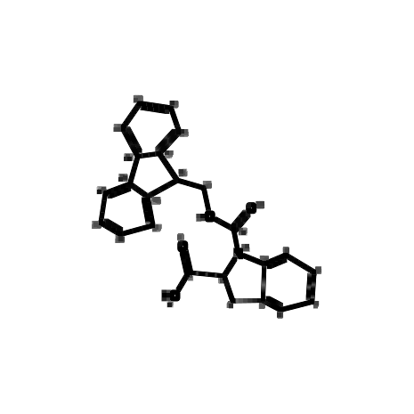 O=C(O)C1Cc2ccccc2N1C(=O)OCC1c2ccccc2-c2ccccc21